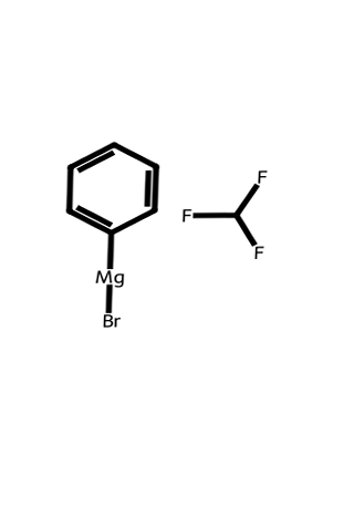 F[C](F)F.[Br][Mg][c]1ccccc1